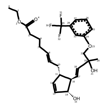 CCOC(=O)CCCC=CC[C@H]1C=C[C@@H](O)[C@@H]1C=CC(C)(O)COc1cccc(C(F)(F)F)c1